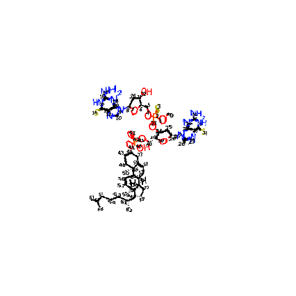 COP(=S)(OC[C@H]1O[C@@H](n2cnc3c(=S)[nH]c(N)nc32)CC1O)OC1C[C@H](n2cnc3c(=S)[nH]c(N)nc32)O[C@@H]1COP(=O)(O)O[C@H]1CC[C@@]2(C)C(=CC[C@@H]3C2CC[C@]2(C)[C@@H]([C@H](C)CCCC(C)C)CC[C@@H]32)C1